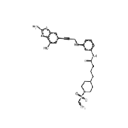 C=CS(=O)(=O)N1CCC(CCCC(=O)Nc2cccc(NCC#Cc3cc(O)c4nc(N)sc4c3)c2)CC1